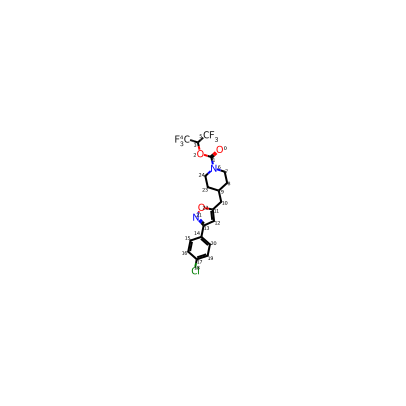 O=C(OC(C(F)(F)F)C(F)(F)F)N1CCC(Cc2cc(-c3ccc(Cl)cc3)no2)CC1